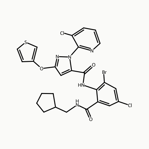 O=C(NCC1CCCC1)c1cc(Cl)cc(Br)c1NC(=O)c1cc(Oc2ccsc2)nn1-c1ncccc1Cl